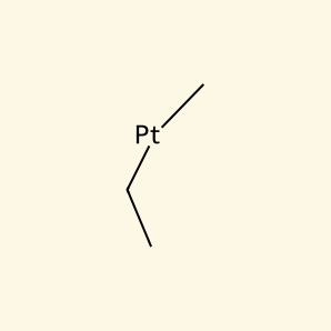 C[CH2][Pt][CH3]